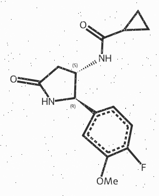 COc1cc([C@H]2NC(=O)C[C@@H]2NC(=O)C2CC2)ccc1F